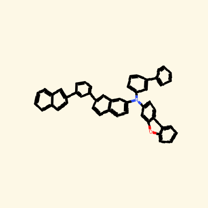 c1ccc(-c2cccc(N(c3ccc4ccc(-c5cccc(-c6ccc7ccccc7c6)c5)cc4c3)c3ccc4c(c3)oc3ccccc34)c2)cc1